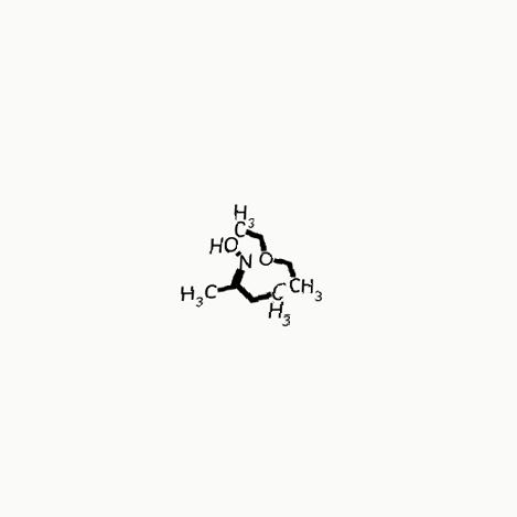 CCC(C)=NO.CCOCC